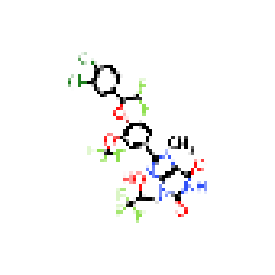 Cn1c(-c2ccc(OC(c3ccc(Cl)c(Cl)c3)C(F)F)c(OC(F)(F)F)c2)nc2c1c(=O)[nH]c(=O)n2CC(O)C(F)(F)F